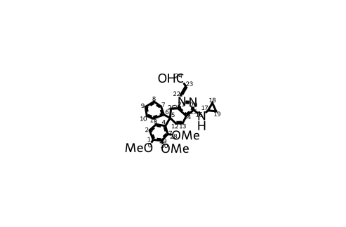 COc1ccc(C2(c3ccccc3)C=Cc3c(NC4CC4)nn(C=CC=O)c3C2)c(OC)c1OC